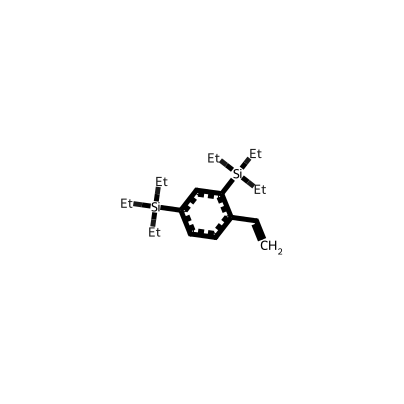 C=Cc1ccc([Si](CC)(CC)CC)cc1[Si](CC)(CC)CC